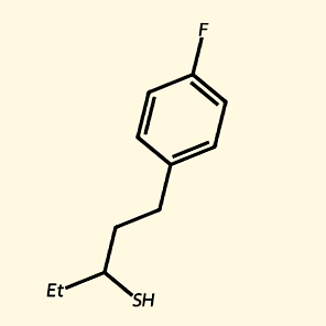 CCC(S)CCc1ccc(F)cc1